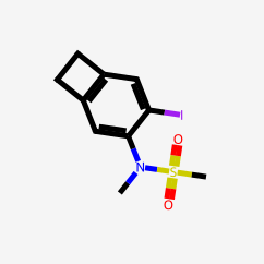 CN(c1cc2c(cc1I)CC2)S(C)(=O)=O